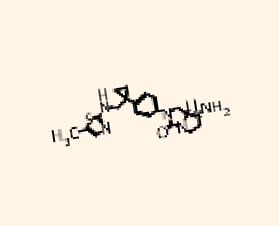 Cc1cnc(NCC2(c3ccc(N4C[C@@H]5[C@H](N)CCN5C4=O)cc3)CC2)s1